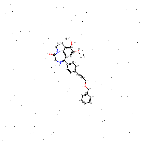 CCN1C(=O)CN=C(c2ccc(C#CCOCc3ccccc3)cc2)c2cc(OC)c(OC)cc21